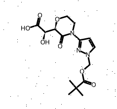 CC(C)(C)C(=O)OCn1ccc(N2CCO[C@H]([C@@H](O)C(=O)O)C2=O)n1